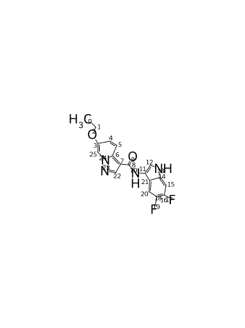 CCOc1ccc2c(C(=O)Nc3c[nH]c4cc(F)c(F)cc34)cnn2c1